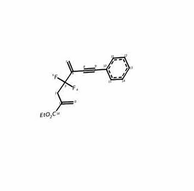 C=C(CC(F)(F)C(=C)C#Cc1ccccc1)C(=O)OCC